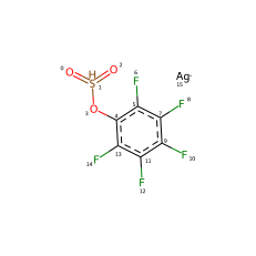 O=[SH](=O)Oc1c(F)c(F)c(F)c(F)c1F.[Ag]